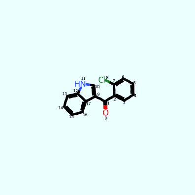 O=C(c1ccccc1Cl)c1c[nH]c2ccccc12